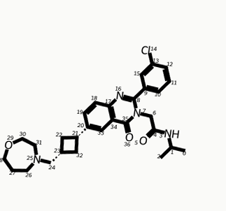 CC(C)NC(=O)Cn1c(-c2cccc(Cl)c2)nc2ccc([C@H]3C[C@@H](CN4CCCOCC4)C3)cc2c1=O